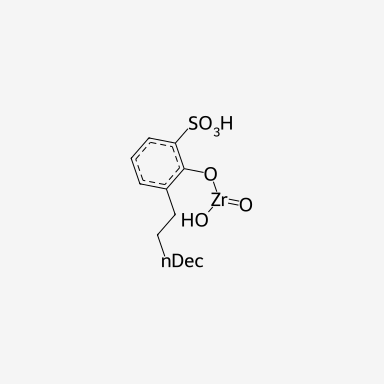 CCCCCCCCCCCCc1cccc(S(=O)(=O)O)c1[O][Zr](=[O])[OH]